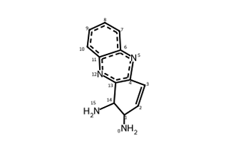 NC1C=Cc2nc3ccccc3nc2C1N